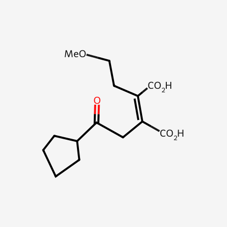 COCCC(C(=O)O)=C(CC(=O)C1CCCC1)C(=O)O